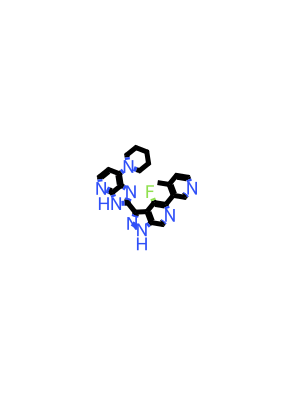 Cc1ccncc1-c1ncc2[nH]nc(-c3nc4c(N5CCCCC5)ccnc4[nH]3)c2c1F